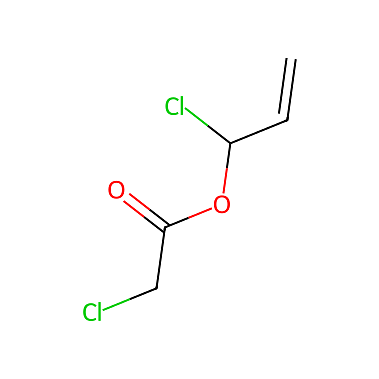 C=CC(Cl)OC(=O)CCl